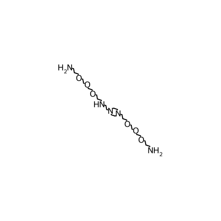 NCCCOCCOCCOCCCNCCN1CCN(CCCOCCOCCOCCCN)CC1